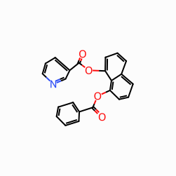 O=C(Oc1cccc2cccc(OC(=O)c3cccnc3)c12)c1ccccc1